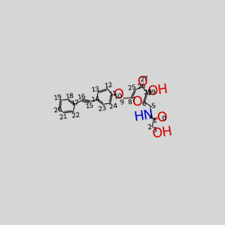 O=C(CO)NCc1oc(COc2ccc(C#Cc3ccccc3)cc2)cc(=O)c1O